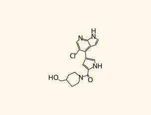 O=C(c1cc(-c2c(Cl)cnc3[nH]ccc23)c[nH]1)N1CCC(CO)CC1